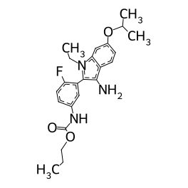 CCCOC(=O)Nc1ccc(F)c(-c2c(N)c3ccc(OC(C)C)cc3n2CC)c1